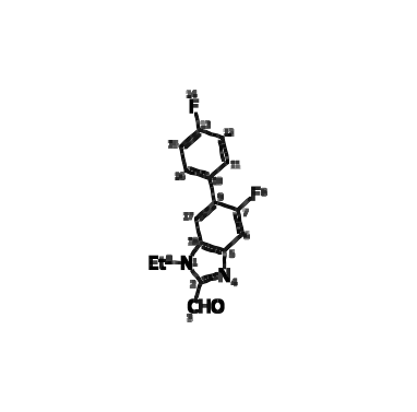 CCn1c(C=O)nc2cc(F)c(-c3ccc(F)cc3)cc21